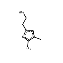 Cc1cn(CCC(C)(C)C)nc1C(F)(F)F